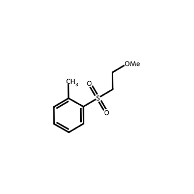 COCCS(=O)(=O)c1ccccc1C